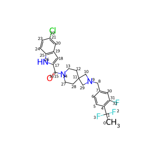 CC(F)(F)c1ccc(CN2CC3(CCN(C(=O)c4cc5cc(Cl)ccc5[nH]4)CC3)C2)cc1F